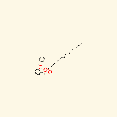 CCCCCCCCCCCCCCCCCC(=O)OC(C)c1ccccc1OCc1ccccc1